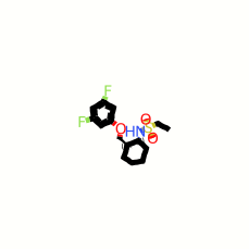 CCS(=O)(=O)N[C@@H]1CCCC[C@H]1COc1cc(F)cc(F)c1